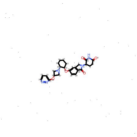 O=C1CCC(N2Cc3cc(O[C@@H]4CCCC[C@@H]4N4CC(Oc5cccnn5)C4)ccc3C2=O)C(=O)N1